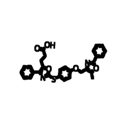 Cc1oc(-c2ccccc2)nc1COc1ccc(Sc2nc(-c3ccccc3)c(CCC(=O)O)o2)cc1